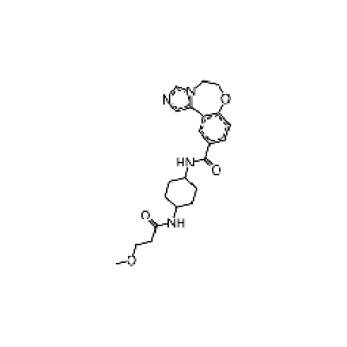 COCCC(=O)NC1CCC(NC(=O)c2ccc3c(c2)-c2cncn2CCO3)CC1